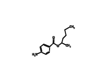 CCCCC(C)OC(=O)c1ccc(N)cc1